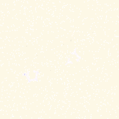 CCCCc1nn(C(C(=O)OC)c2ccccc2)c(=O)n1Cc1ccc(-c2ccccc2-c2nnn[nH]2)cc1